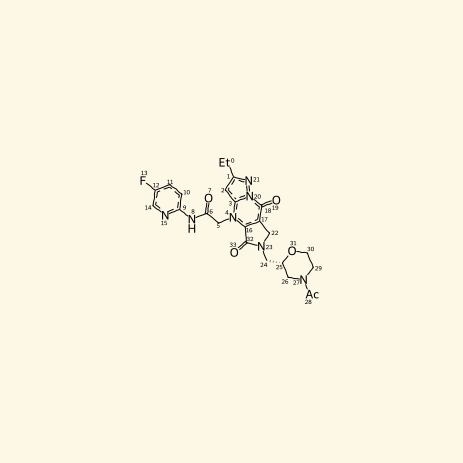 CCc1cc2n(CC(=O)Nc3ccc(F)cn3)c3c(c(=O)n2n1)CN(C[C@H]1CN(C(C)=O)CCO1)C3=O